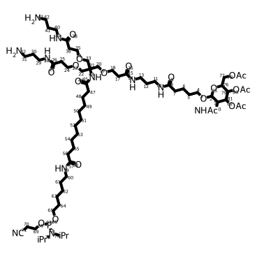 CC(=O)NC1C(OCCCCC(=O)NCCCNC(=O)CCOCC(COCCC(=O)NCCCN)(COCCC(=O)NCCCN)NC(=O)CCCCCCCCCCC(=O)NCCCCCCOP(OCCC#N)N(C(C)C)C(C)C)OC(COC(C)=O)C(OC(C)=O)C1OC(C)=O